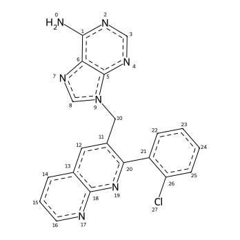 Nc1ncnc2c1ncn2Cc1cc2cccnc2nc1-c1ccccc1Cl